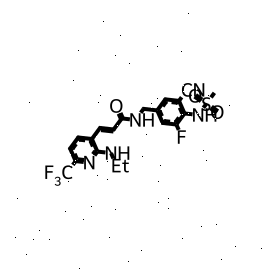 CCNc1nc(C(F)(F)F)ccc1/C=C/C(=O)NCc1cc(F)c(NS(C)(=O)=O)c(C#N)c1